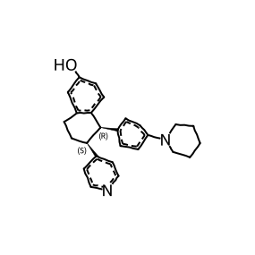 Oc1ccc2c(c1)CC[C@H](c1ccncc1)[C@@H]2c1ccc(N2CCCCC2)cc1